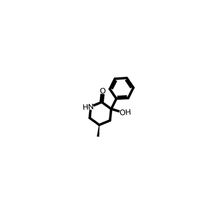 C[C@H]1CNC(=O)C(O)(c2ccccc2)C1